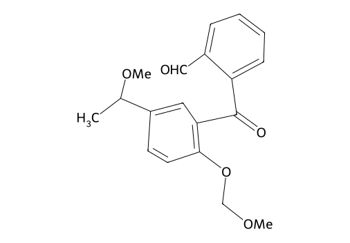 COCOc1ccc(C(C)OC)cc1C(=O)c1ccccc1C=O